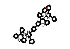 c1ccc(-c2cc(-c3ccc(-c4ccc5c(c4)Oc4ccccc4-c4c-5c5cccc(-c6ccccc6)c5n4-c4nc(-c5ccccc5)cc(-c5ccccc5)n4)cc3)nc(-n3c4c(c5ccccc53)-c3ccccc3Oc3ccccc3-4)n2)cc1